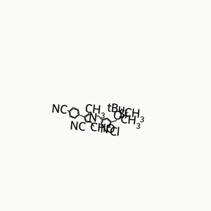 Cc1c(-c2ccc(C#N)cc2)c(C#N)c(C=O)n1Cc1cnc(Cl)c(CO[Si](C)(C)C(C)(C)C)c1